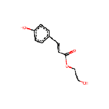 O=C(C=Cc1ccc(O)cc1)OCCO